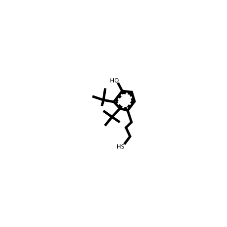 CC(C)(C)c1c(O)ccc(CCCS)c1C(C)(C)C